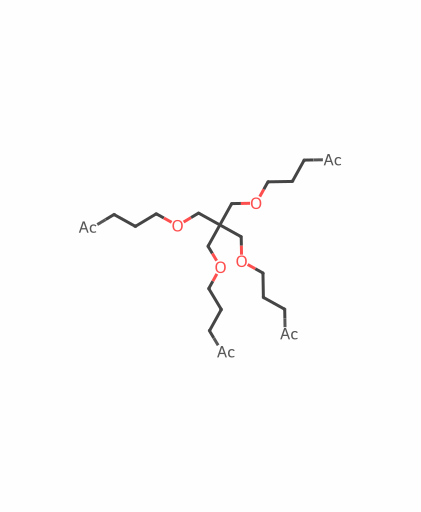 CC(=O)CCCOCC(COCCCC(C)=O)(COCCCC(C)=O)COCCCC(C)=O